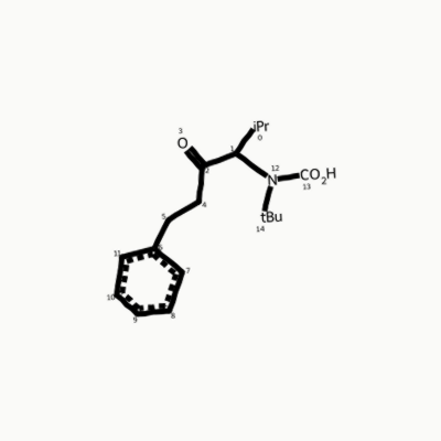 CC(C)C(C(=O)CCc1ccccc1)N(C(=O)O)C(C)(C)C